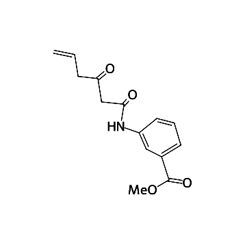 C=CCC(=O)CC(=O)Nc1cccc(C(=O)OC)c1